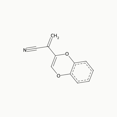 C=C(C#N)C1=COc2ccccc2O1